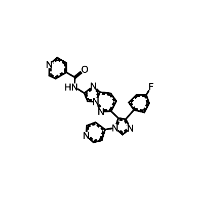 O=C(Nc1cn2nc(-c3c(-c4ccc(F)cc4)ncn3-c3ccncc3)ccc2n1)c1ccncc1